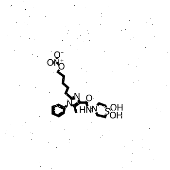 Cc1c(C(=O)NN2CCS(O)(O)CC2)nc(CCCCCO[N+](=O)[O-])n1-c1ccccc1